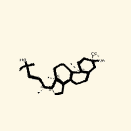 C[C@H](CCC(C)(C)O)[C@H]1CCC2C3CCC4C[C@@](O)(C(F)(F)F)CC[C@]4(C)C3CC[C@@]21C